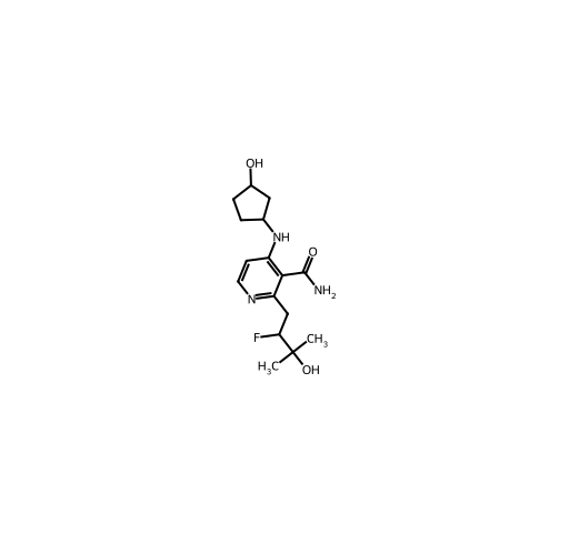 CC(C)(O)C(F)Cc1nccc(NC2CCC(O)C2)c1C(N)=O